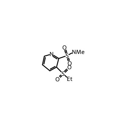 CCS(=O)(=O)c1cccnc1S(=O)(=O)NC